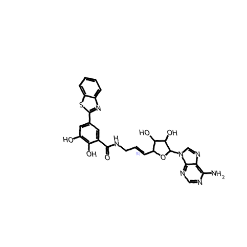 Nc1ncnc2c1ncn2C1OC(/C=C/CNC(=O)c2cc(-c3nc4ccccc4s3)cc(O)c2O)C(O)C1O